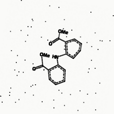 COC(=O)c1ccccc1Nc1ccccc1C(=O)OC